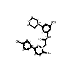 N#Cc1cc(NC(=O)Cn2nc(-c3ccc(Cl)cc3)ccc2=O)cc(N2CCOCC2)c1